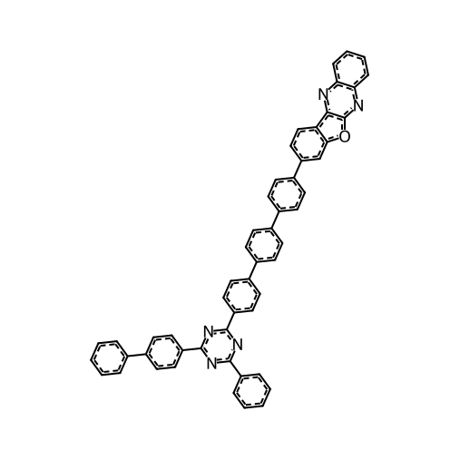 c1ccc(-c2ccc(-c3nc(-c4ccccc4)nc(-c4ccc(-c5ccc(-c6ccc(-c7ccc8c(c7)oc7nc9ccccc9nc78)cc6)cc5)cc4)n3)cc2)cc1